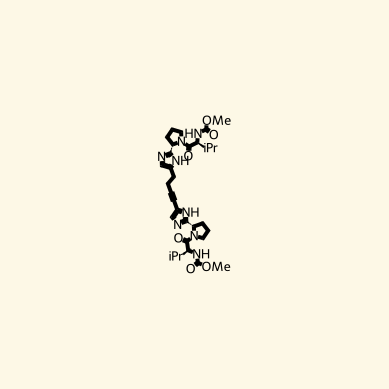 COC(=O)N[C@H](C(=O)N1CCC[C@H]1c1ncc(C#CCCc2cnc([C@@H]3CCCN3C(=O)[C@@H](NC(=O)OC)C(C)C)[nH]2)[nH]1)C(C)C